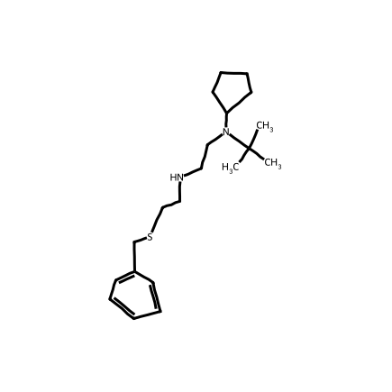 CC(C)(C)N(CCNCCSCc1ccccc1)C1CCCC1